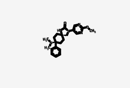 COc1ncc(N2C[C@]3(CC[C@@](c4ccccc4)(N(C)C)CC3)NC2=O)cn1